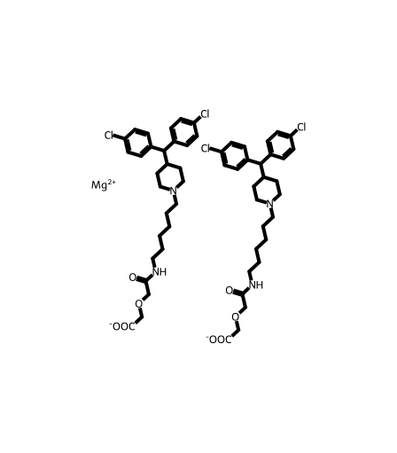 O=C([O-])COCC(=O)NCCCCCCN1CCC(C(c2ccc(Cl)cc2)c2ccc(Cl)cc2)CC1.O=C([O-])COCC(=O)NCCCCCCN1CCC(C(c2ccc(Cl)cc2)c2ccc(Cl)cc2)CC1.[Mg+2]